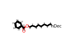 CCCCCCCCCCCCCCCCCCOC(=O)c1ccccc1